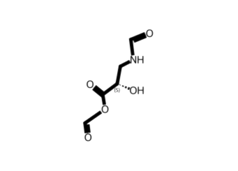 O=CNC[C@H](O)C(=O)OC=O